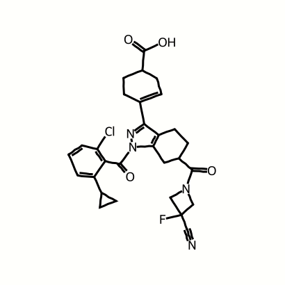 N#CC1(F)CN(C(=O)C2CCc3c(C4=CCC(C(=O)O)CC4)nn(C(=O)c4c(Cl)cccc4C4CC4)c3C2)C1